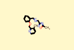 Cc1nc(CNCc2ccccc2OCc2ncccc2C#N)no1